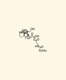 CC(=O)O[C@@H](C)C(=O)NCCC(=O)O[C@@H](O)C(=O)OC1=CC[C@@]2(O)[C@H]3Cc4ccc(CO)c5c4[C@@]2(CCCN3C)[C@H]1O5